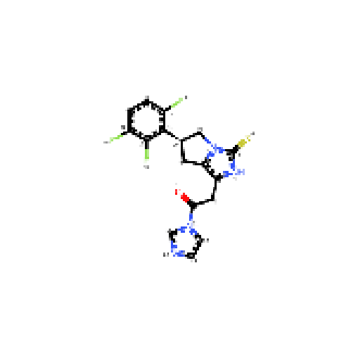 O=C(Cc1[nH]c(=S)n2c1C[C@@H](c1c(F)ccc(F)c1F)C2)n1ccnc1